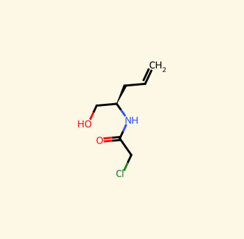 C=CC[C@H](CO)NC(=O)CCl